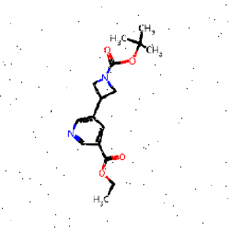 CCOC(=O)c1cncc(C2CN(C(=O)OC(C)(C)C)C2)c1